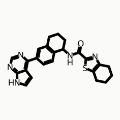 O=C(NC1CCCc2cc(-c3ncnc4[nH]ccc34)ccc21)c1nc2c(s1)CCCC2